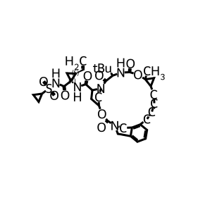 C=C[C@@H]1C[C@]1(NC(=O)C1CC2CN1C(=O)C(C(C)(C)C)NC(=O)OC1(C)CC1CCCCc1cccc3c1CN(C3)C(=O)O2)C(=O)NS(=O)(=O)C1CC1